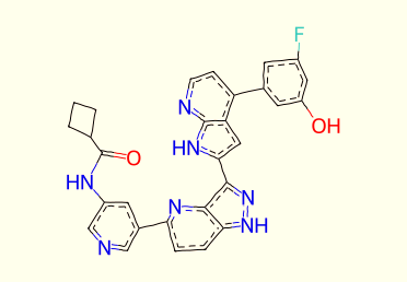 O=C(Nc1cncc(-c2ccc3[nH]nc(-c4cc5c(-c6cc(O)cc(F)c6)ccnc5[nH]4)c3n2)c1)C1CCC1